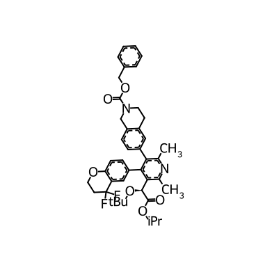 Cc1nc(C)c([C@H](OC(C)(C)C)C(=O)OC(C)C)c(-c2ccc3c(c2)C(F)(F)CCO3)c1-c1ccc2c(c1)CCN(C(=O)OCc1ccccc1)C2